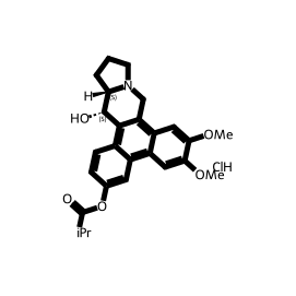 COc1cc2c3c(c4ccc(OC(=O)C(C)C)cc4c2cc1OC)[C@H](O)[C@@H]1CCCN1C3.Cl